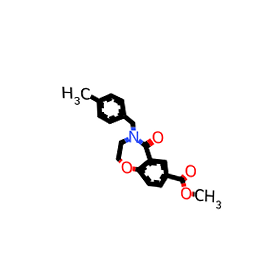 COC(=O)c1ccc2c(c1)C(=O)N(Cc1ccc(C)cc1)CCO2